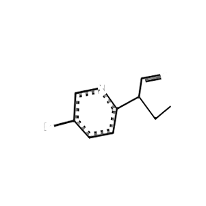 CCC(C=O)c1ccc(Br)cn1